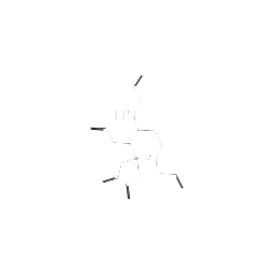 C=CCNC1CCN(CC=C)C(CC=C)(CC=C)C1CC=C